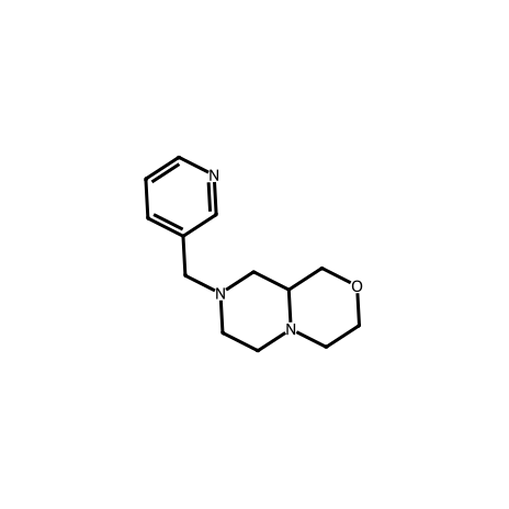 c1cncc(CN2CCN3CCOCC3C2)c1